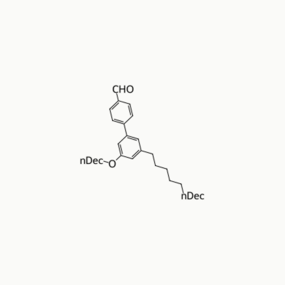 CCCCCCCCCCCCCCCc1cc(OCCCCCCCCCC)cc(-c2ccc(C=O)cc2)c1